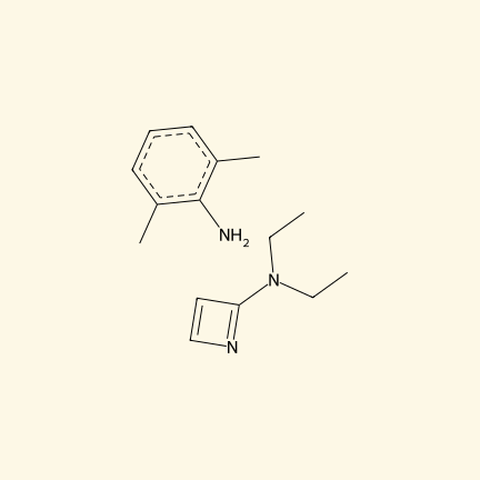 CCN(CC)C1=NC=C1.Cc1cccc(C)c1N